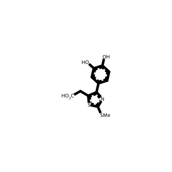 [CH2]Sc1nc(-c2ccc(O)c(O)c2)c(CC(=O)O)s1